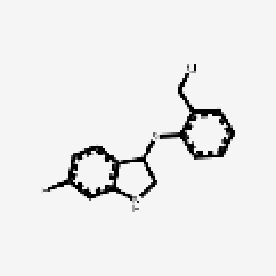 Fc1ccc2c(c1)NCC2Sc1ccccc1CCl